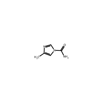 Cc1cn(C(N)=O)cn1